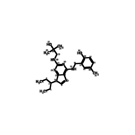 CCC(CC)n1cnc2c(NCc3cc(C)ccc3O)nc(NCC(C)(C)O)nc21